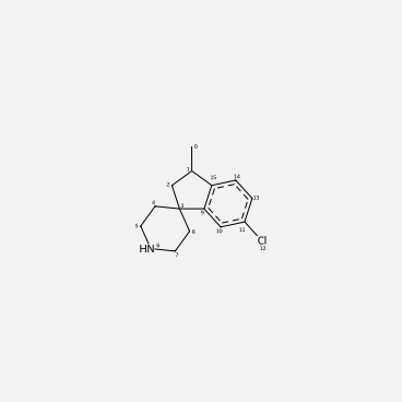 CC1CC2(CCNCC2)c2cc(Cl)ccc21